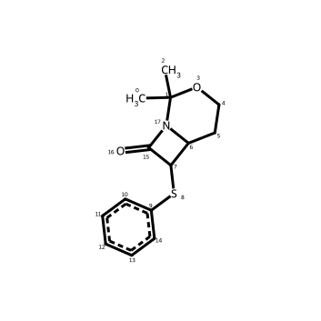 CC1(C)OCCC2C(Sc3ccccc3)C(=O)N21